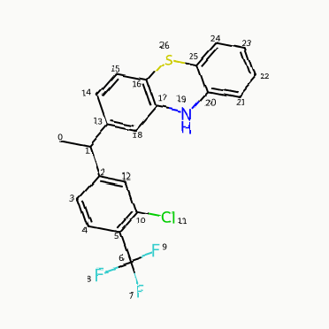 CC(c1ccc(C(F)(F)F)c(Cl)c1)c1ccc2c(c1)Nc1ccccc1S2